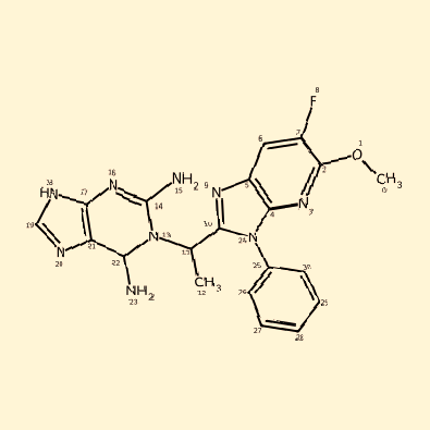 COc1nc2c(cc1F)nc(C(C)N1C(N)=Nc3[nH]cnc3C1N)n2-c1ccccc1